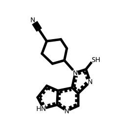 N#CC1CCC(n2c(S)nc3cnc4[nH]ccc4c32)CC1